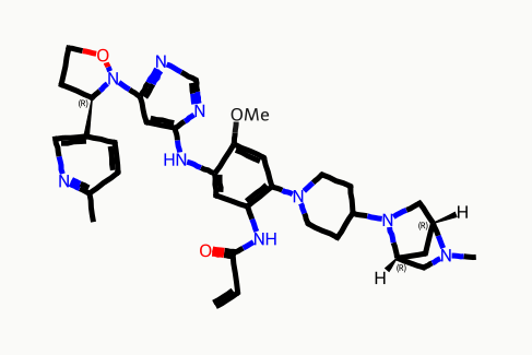 C=CC(=O)Nc1cc(Nc2cc(N3OCC[C@@H]3c3ccc(C)nc3)ncn2)c(OC)cc1N1CCC(N2C[C@H]3C[C@@H]2CN3C)CC1